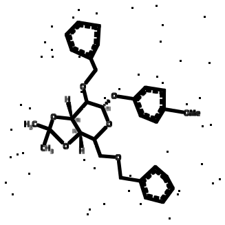 COc1ccc(O[C@@H]2OC(COCc3ccccc3)[C@@H]3OC(C)(C)O[C@@H]3C2OCc2ccccc2)cc1